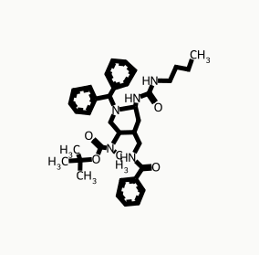 CCCCNC(=O)NC1CC(CNC(=O)c2ccccc2)C(N(C)C(=O)OC(C)(C)C)CN1C(c1ccccc1)c1ccccc1